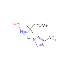 COCC(C)(C)/C(Cn1cnc([N+](=O)[O-])c1)=N\O